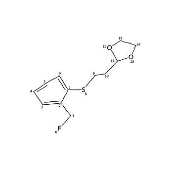 FCc1ccccc1SCCC1OCCO1